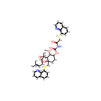 COC1C(OC(=O)NC(=O)CSc2cccc3cccnc23)CCC(O)(CSc2cccc3cccnc23)C1C1(C)OC1CC=C(C)C